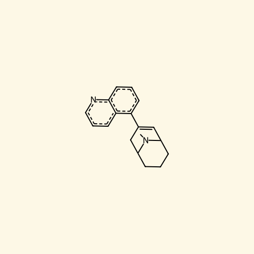 CN1C2C=C(c3cccc4ncccc34)CC1CCC2